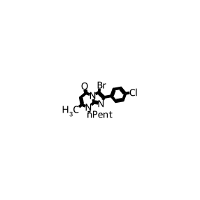 CCCCCn1c(C)cc(=O)n2c(Br)c(-c3ccc(Cl)cc3)nc12